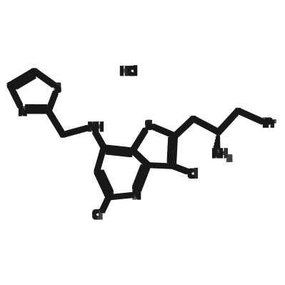 CC(C)C[C@H](N)Cc1sc2c(NCc3nccs3)cc(Cl)nc2c1Cl.Cl